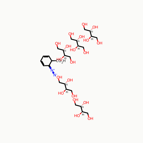 OC[C@@H](O)[C@@H](O)CO.OC[C@@H](O)[C@@H](O)CO.OC[C@@H](O)[C@@H](O)CO.OC[C@@H](O)[C@@H](O)CO.OC[C@@H](O)[C@@H](O)CO.[N-]=[N+]=C1C=CC=CC1C(=O)O